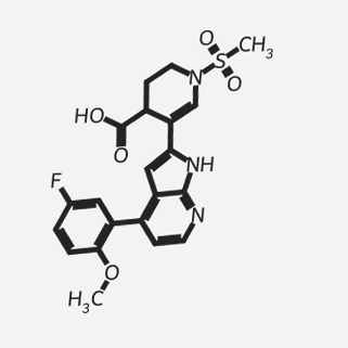 COc1ccc(F)cc1-c1ccnc2[nH]c(C3=CN(S(C)(=O)=O)CCC3C(=O)O)cc12